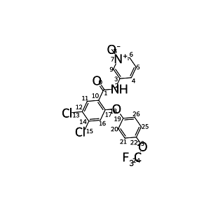 O=C(Nc1ccc[n+]([O-])c1)c1cc(Cl)c(Cl)cc1Oc1ccc(OC(F)(F)F)cc1